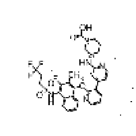 Cc1c(F)c(NS(=O)(=O)CCC(F)(F)F)c2ccccc2c1Oc1ncccc1-c1ccnc(N[C@H]2CCCN(C(=O)O)C2)n1